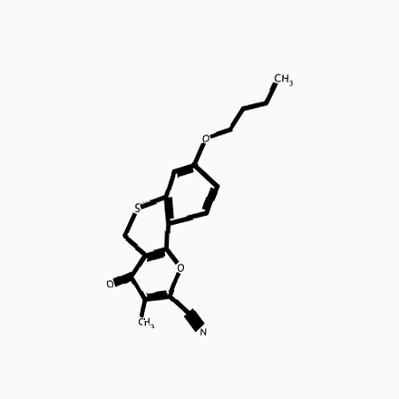 CCCCOc1ccc2c(c1)SCc1c-2oc(C#N)c(C)c1=O